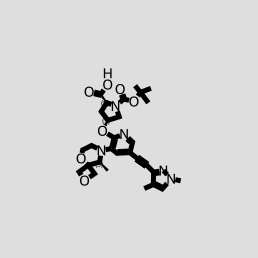 Cc1cn(C)nc1C#Cc1cnc(O[C@H]2C[C@@H](C(=O)O)N(C(=O)OC(C)(C)C)C2)c(N2CCOC3(COC3)[C@@H]2C)c1